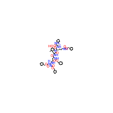 Cc1cc(O)cc2c1C[C@H](NC(=O)C(CCCN/C(=N\C(=O)OCc1ccccc1)NC(=O)OCc1ccccc1)NC(=O)OCc1ccccc1)C(=O)N2[C@@H](CCCCNC(=O)OCc1ccccc1)C(=O)N[C@@H](Cc1ccccc1)C(N)=O